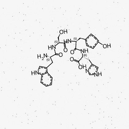 N[C@@H](Cc1c[nH]c2ccccc12)C(=O)N[C@@H](CO)C(=O)N[C@@H](Cc1ccc(O)cc1)C(=O)N[C@H](Cc1c[nH]cn1)C(=O)O